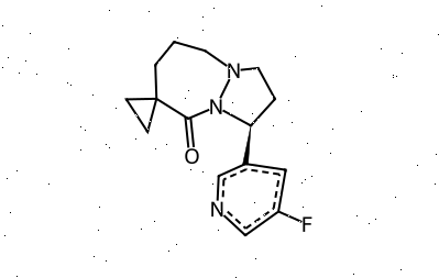 O=C1N2[C@H](c3cncc(F)c3)CCN2CCCC12CC2